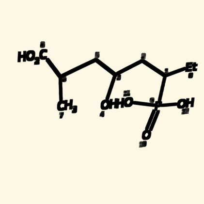 CCC(CC(O)CC(C)C(=O)O)P(=O)(O)O